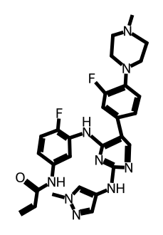 C=CC(=O)Nc1ccc(F)c(Nc2nc(Nc3cnn(C)c3)ncc2-c2ccc(N3CCN(C)CC3)c(F)c2)c1